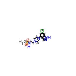 CS(=O)(=O)NCCN1CCN(c2cc(Cl)cc3[nH]ncc23)CC1